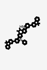 CC1c2cc3c4cc(-c5ccc6c(c5)-c5ccccc5C6(C)C)ccc4n(-c4ccccc4)c3cc2-c2ccc3c([nH]c4ccc(-c5ccc6c(c5)-c5ccccc5C6(C)C)cc43)c2C1C